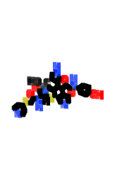 O=C(CC(C(=C1CCNC1=O)C1=C(C(=O)O)N2C(=O)[C@@H](NC(=O)CSc3ccncc3)[C@H]2SC1)c1ccncc1)Nc1ccc(O)cc1